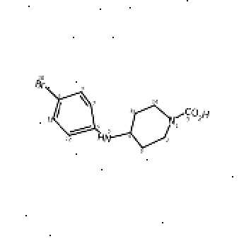 O=C(O)N1CCC(Nc2ccc(Br)cc2)CC1